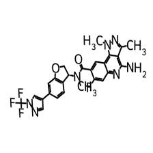 Cc1nn(C)c2c1c(N)nc1cc(F)c(C(=O)N(C)[C@@H]3COc4cc(-c5cnn(C(F)(F)F)c5)ccc43)cc12